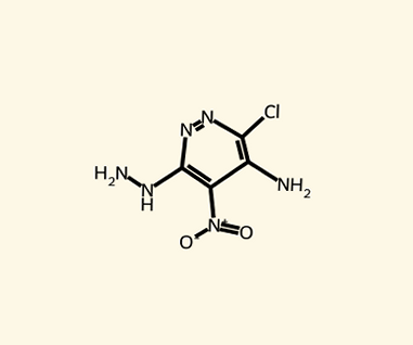 NNc1nnc(Cl)c(N)c1[N+](=O)[O-]